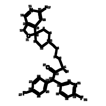 CN(CCCN1CCC2(CC1)OCc1cnc(F)cc12)C(=O)C(c1ccc(F)cc1)c1ccc(F)nc1